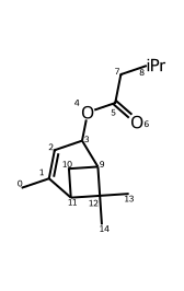 CC1=CC(OC(=O)CC(C)C)C2CC1C2(C)C